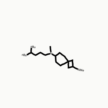 CCCCC(CCCC)CCCN(C)C1CCC2(CC1)CC(NC)C2